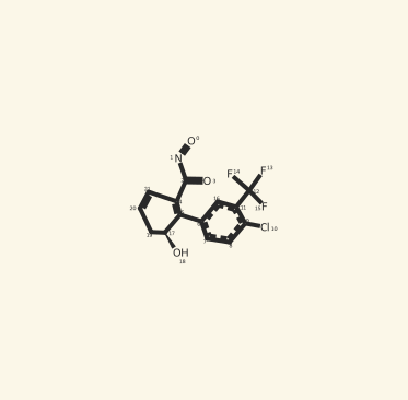 O=NC(=O)C1=C(c2ccc(Cl)c(C(F)(F)F)c2)[C@@H](O)CC=C1